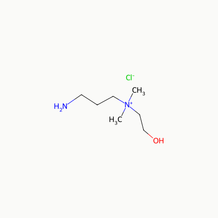 C[N+](C)(CCO)CCCN.[Cl-]